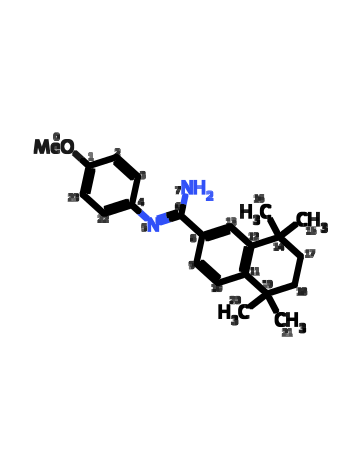 COc1ccc(N=C(N)c2ccc3c(c2)C(C)(C)CCC3(C)C)cc1